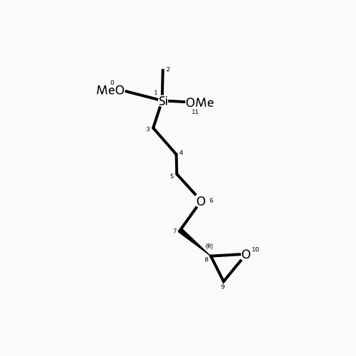 CO[Si](C)(CCCOC[C@@H]1CO1)OC